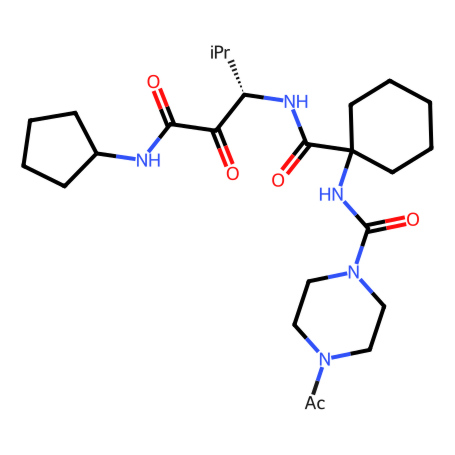 CC(=O)N1CCN(C(=O)NC2(C(=O)N[C@H](C(=O)C(=O)NC3CCCC3)C(C)C)CCCCC2)CC1